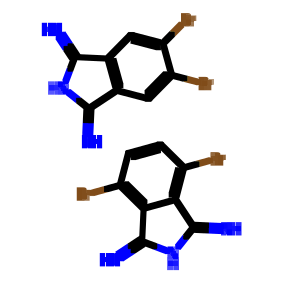 N=C1NC(=N)c2c(Br)ccc(Br)c21.N=C1NC(=N)c2cc(Br)c(Br)cc21